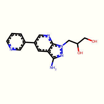 Nc1nn(CC(O)CO)c2ncc(-c3cccnc3)cc12